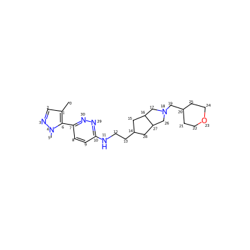 Cc1cnn(C)c1-c1ccc(NCCC2CC3CN(CC4CCOCC4)CC3C2)nn1